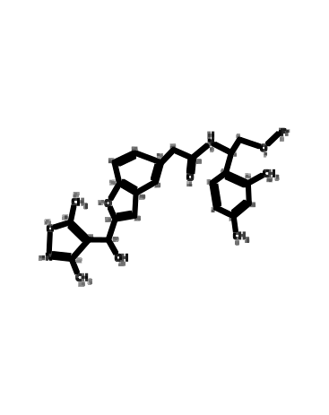 Cc1ccc(C(COC(C)C)NC(=O)Cc2ccc3oc(C(O)c4c(C)noc4C)cc3c2)c(C)c1